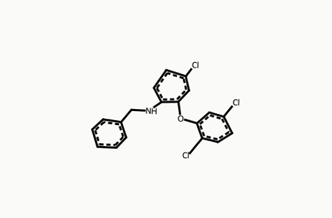 Clc1ccc(Cl)c(Oc2cc(Cl)ccc2NCc2ccccc2)c1